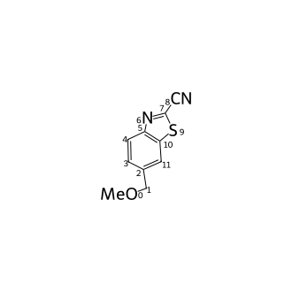 COCc1ccc2nc(C#N)sc2c1